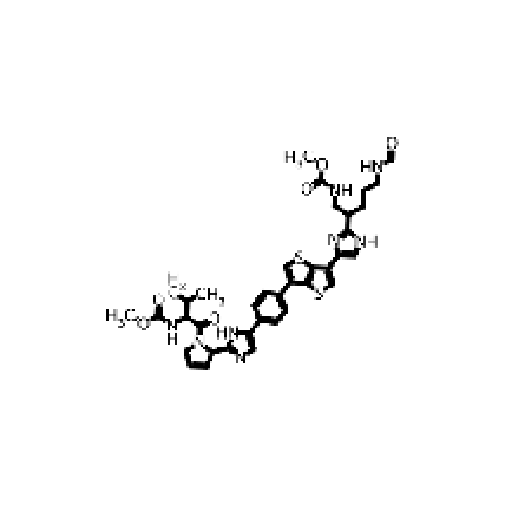 COC(=O)NCC(CCCNC=O)c1nc(-c2csc3c(-c4ccc(-c5cnc(C6C=CCN6C(=O)C(NC(=O)OC)C(C)C)[nH]5)cc4)csc23)c[nH]1